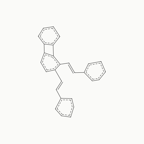 C(=C\c1ccc2c(c1/C=C/c1ccccc1)-c1ccccc1-2)/c1ccccc1